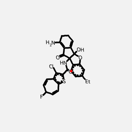 CCc1ccc2c(c1)OC1(O)C3=CCCC(N)=C3C(=O)C21NC(=O)c1sc2c(c1Cl)C=CC(F)C=C2